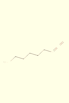 CSCCCCCN=C=S